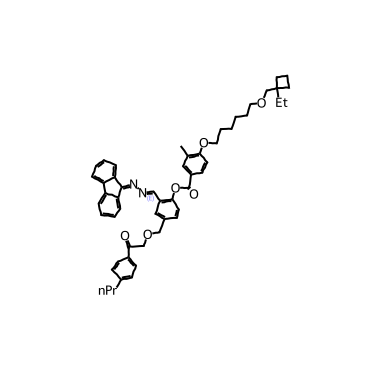 CCCc1ccc(C(=O)COCc2ccc(OC(=O)c3ccc(OCCCCCCOCC4(CC)CCC4)c(C)c3)c(/C=N/N=C3c4ccccc4-c4ccccc43)c2)cc1